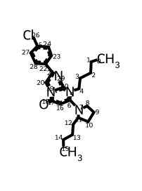 CCCCCn1c(N2CCCC2CCCC)cc(=O)n2cc(-c3ccc(Cl)cc3)nc12